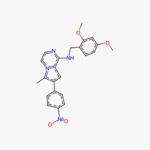 COc1ccc(CNc2nccn3c(C)c(-c4ccc([N+](=O)[O-])cc4)cc23)c(OC)c1